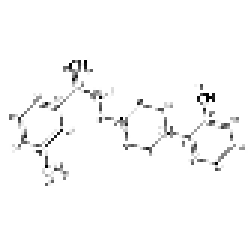 C=C(NCN1CCN(c2ccccc2C#N)CC1)c1cccc(C)c1